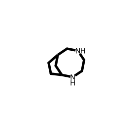 C1CNC2CCC(CN1)C2